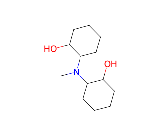 CN(C1CCCCC1O)C1CCCCC1O